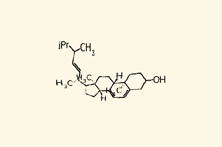 CC(C)C(C)C=C[C@@H](C)[C@H]1CC[C@H]2C3=CC=C4CC(O)CC[C@]4(C)[C@H]3CC[C@]12C